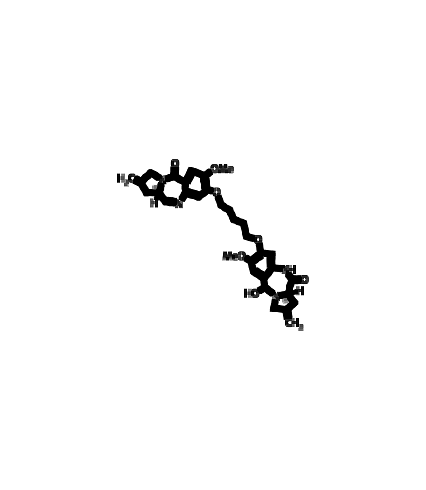 C=C1C[C@H]2C=Nc3cc(OCCCCCOc4cc5c(cc4OC)C(O)N4CC(=C)C[C@H]4C(=O)N5)c(OC)cc3C(=O)N2C1